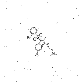 CSc1ccc2c(c1)c(SCCN(C)C)c(C)n2S(=O)(=O)c1ccccc1Br